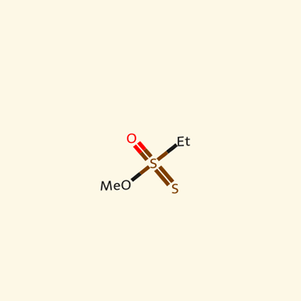 CCS(=O)(=S)OC